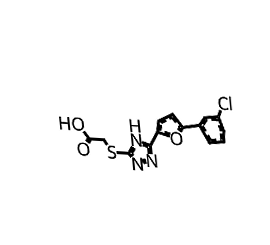 O=C(O)CSc1nnc(-c2ccc(-c3cccc(Cl)c3)o2)[nH]1